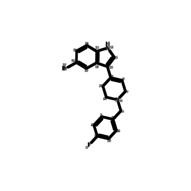 Fc1ccc(CN2CC=C(c3c[nH]c4ccc(Br)cc34)CC2)cc1